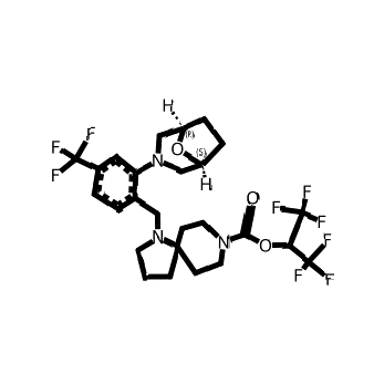 O=C(OC(C(F)(F)F)C(F)(F)F)N1CCC2(CCCN2Cc2ccc(C(F)(F)F)cc2N2C[C@H]3CC[C@@H](C2)O3)CC1